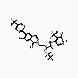 C[C@H](Nc1cn[nH]c(=O)c1C(F)(F)F)[C@H](CCn1ccc2cc(-c3ncc(C(F)(F)F)cn3)c(F)cc2c1=O)O[Si](C)(C)C(C)(C)C